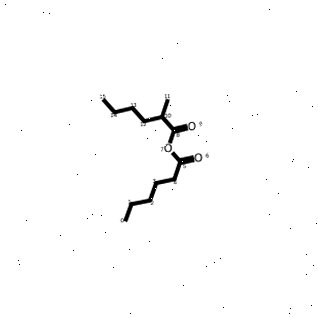 CCCCCC(=O)OC(=O)C(C)CCCC